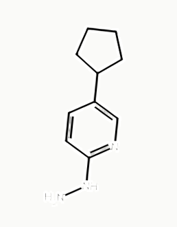 NNc1ccc(C2CCCC2)cn1